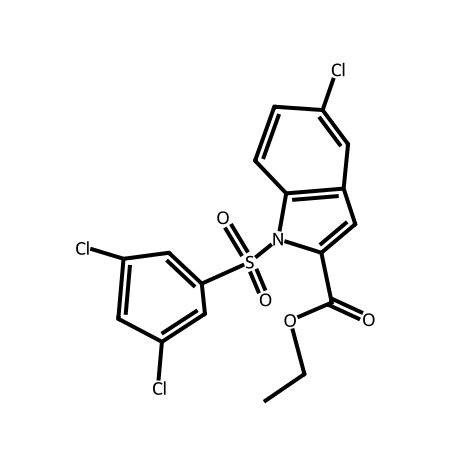 CCOC(=O)c1cc2cc(Cl)ccc2n1S(=O)(=O)c1cc(Cl)cc(Cl)c1